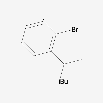 CCC(C)C(C)c1ccc[c]c1Br